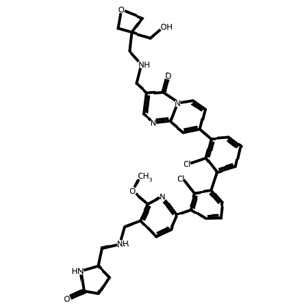 COc1nc(-c2cccc(-c3cccc(-c4ccn5c(=O)c(CNCC6(CO)COC6)cnc5c4)c3Cl)c2Cl)ccc1CNCC1CCC(=O)N1